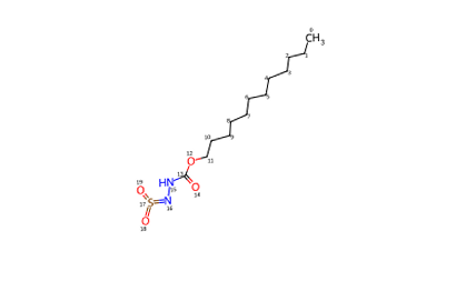 CCCCCCCCCCCCOC(=O)NN=S(=O)=O